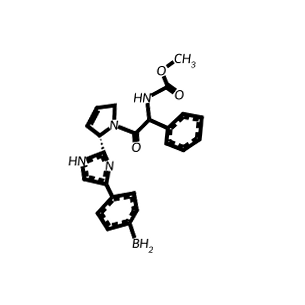 Bc1ccc(-c2c[nH]c([C@@H]3C=CCN3C(=O)C(NC(=O)OC)c3ccccc3)n2)cc1